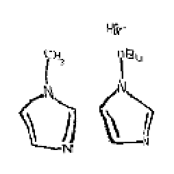 Br.CCCCn1ccnc1.Cn1ccnc1